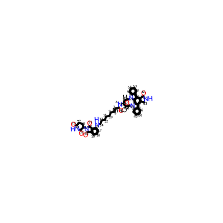 CO[C@@H]1[C@H](N(C)C(=O)CCCCCCCCNc2cccc3c2C(=O)N(C2CCC(=O)NC2=O)C3=O)C[C@H]2O[C@]1(C)n1c3ccccc3c3c4c(c5c6ccccc6n2c5c31)C(=O)NC4